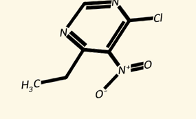 CCc1ncnc(Cl)c1[N+](=O)[O-]